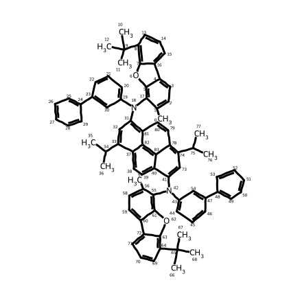 Cc1ccc2c(oc3c(C(C)(C)C)cccc32)c1N(c1cccc(-c2ccccc2)c1)c1cc(C(C)C)c2ccc3c(N(c4cccc(-c5ccccc5)c4)c4c(C)ccc5c4oc4c(C(C)(C)C)cccc45)cc(C(C)C)c4ccc1c2c43